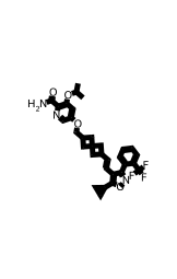 CC(C)Oc1cc(OCC2CC3(CC(C=Cc4c(-c5ccccc5C(F)(F)F)noc4C4CC4)C3)C2)cnc1C(N)=O